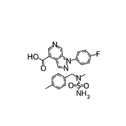 Cc1ccc(CN(C)S(N)(=O)=O)cc1.O=C(O)c1cncc2c1cnn2-c1ccc(F)cc1